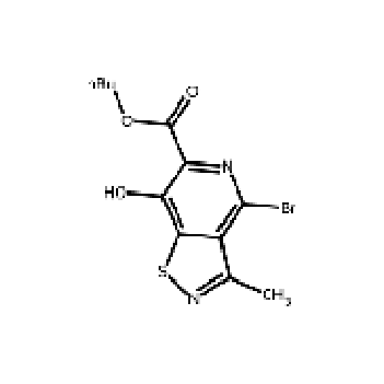 CCCCOC(=O)c1nc(Br)c2c(C)nsc2c1O